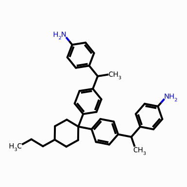 CCCC1CCC(c2ccc(C(C)c3ccc(N)cc3)cc2)(c2ccc(C(C)c3ccc(N)cc3)cc2)CC1